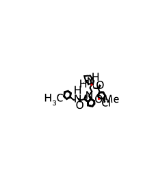 COc1cccc2c(C(=O)NCc3cccc(C)c3)cn(CCCN3[C@@H]4CC[C@H]3C[C@@H](CC(=O)c3ccc(Cl)cc3)C4)c12